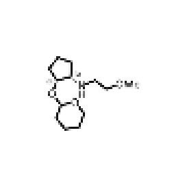 COCCN[C@H]1CCC[C@@H]1OC1CCCCO1